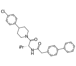 CC(C)[C@@H](NC(=O)Cc1ccc(-c2ccccc2)cc1)C(=O)N1CCC(c2ccc(Cl)cc2)CC1